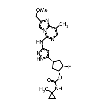 COCc1cn2c(Nc3cc([C@H]4C[C@@H](F)[C@@H](OC(=O)NC5(C)CC5)C4)[nH]n3)ncc(C)c2n1